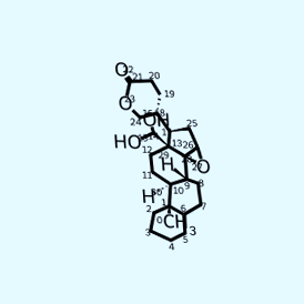 C[C@]12CCCCC1CC[C@@H]1[C@@H]2CC[C@]2(C(O)O)[C@@H]([C@H]3CCC(=O)OC3)CC3O[C@@]312